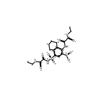 CCOC(=O)C(=O)Nc1c([N+](=O)[O-])cc(S(=O)(=O)NC(=O)C(=O)OCC)c2c1CCCC2